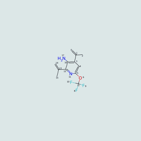 C=C(C)c1cc(OC(F)(F)F)nc(C(=C)C)c1N